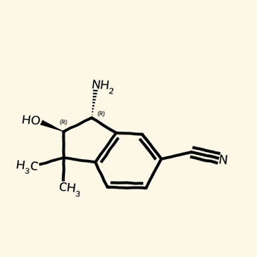 CC1(C)c2ccc(C#N)cc2[C@@H](N)[C@@H]1O